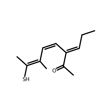 CC\C=C(/C=C\C(C)=C(/C)S)C(C)=O